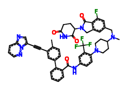 Cc1ccc(-c2ccccc2C(=O)Nc2ccc(N3CCC(N(C)Cc4cc(F)c5c(c4)CN(C4CCC(=O)NC4=O)C5=O)CC3)c(C(F)(F)F)c2)cc1C#Cc1cnc2cccnn12